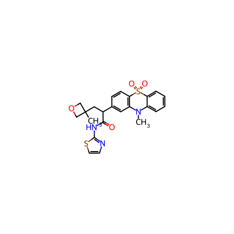 CN1c2ccccc2S(=O)(=O)c2ccc(C(CC3(C)COC3)C(=O)Nc3nccs3)cc21